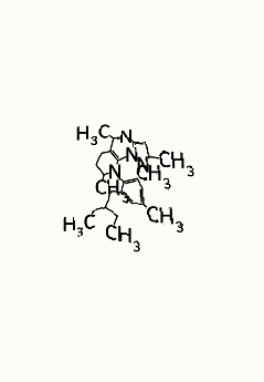 CCC(CC)Cc1cc(C)cc(C)c1N1c2c(c(C)nc3cc(C)nn23)CCC1C